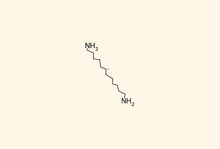 NCCCCC[CH]CCCCCCN